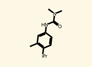 Cc1cc(NC(=O)N(C)C)ccc1C(C)C